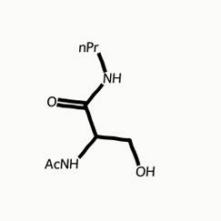 CCCNC(=O)C(CO)NC(C)=O